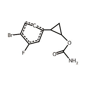 NC(=O)OC1CC1c1ccc(Br)c(F)c1